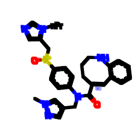 CCCn1cncc1C[S+]([O-])c1ccc(N(Cc2cnn(C)c2)C(=O)/C2=C/c3ccccc3NCCC2)cc1